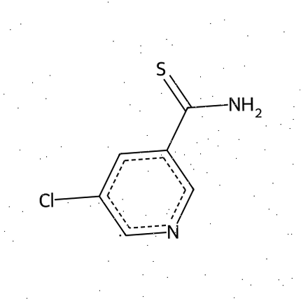 NC(=S)c1cn[c]c(Cl)c1